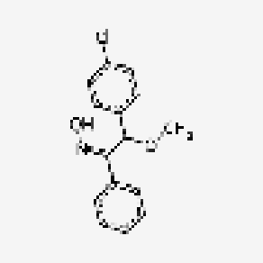 COC(C(=NO)c1ccccc1)c1ccc(Cl)cc1